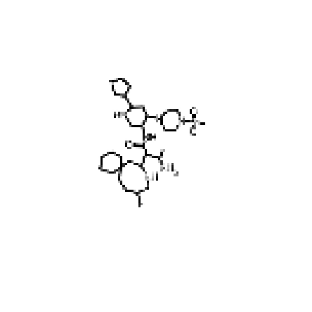 CC(N)C(C(=O)NC1CNC(C2CCCC2)CC1N1CCN(S(C)(=O)=O)CC1)C1CC2(CCCCC2)CCC(F)CN1